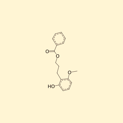 COc1cccc(O)c1CCCOC(=O)c1ccccc1